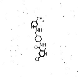 Cc1ncc(Cl)cc1C(=O)N[C@H]1CC[C@H](CNc2cc(C(F)(F)F)ccn2)CC1